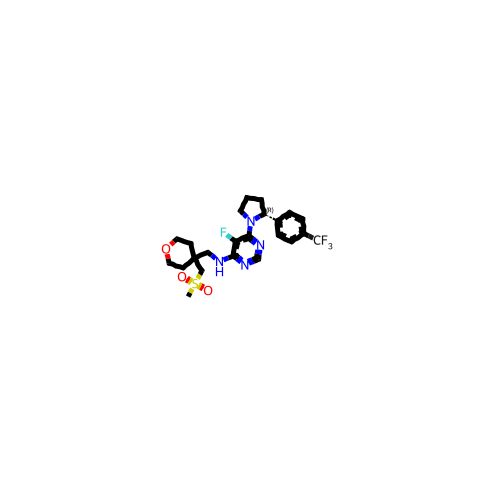 CS(=O)(=O)CC1(CNc2ncnc(N3CCC[C@@H]3c3ccc(C(F)(F)F)cc3)c2F)CCOCC1